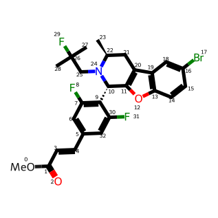 COC(=O)/C=C/c1cc(F)c([C@H]2c3oc4ccc(Br)cc4c3C[C@H](C)N2CC(C)(C)F)c(F)c1